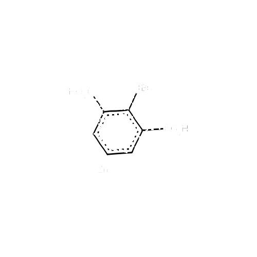 CC(C)(C)c1c(C(=O)O)cccc1C(=O)O.[Zn]